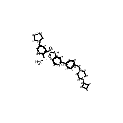 COc1ncc(N2CCOCC2)cc1S(=O)(=O)Nc1ccnc(-c2ccc(CN3CCN(C4CCC4)CC3)cc2)c1